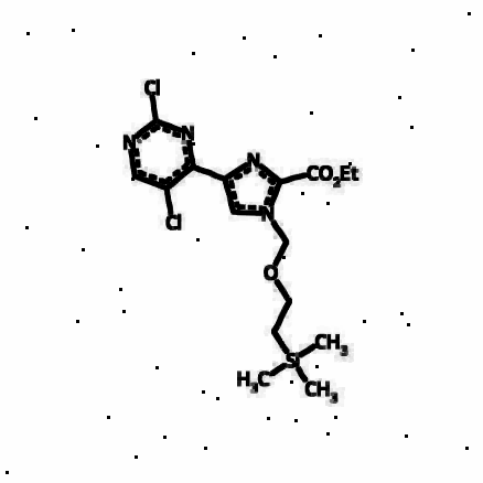 CCOC(=O)c1nc(-c2nc(Cl)ncc2Cl)cn1COCC[Si](C)(C)C